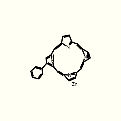 C1=Cc2cc3cc(-c4ccccc4)c(cc4nc(cc5ccc(cc1n2)[nH]5)C=C4)[nH]3.[Zn]